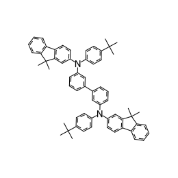 CC(C)(C)c1ccc(N(c2cccc(-c3cccc(N(c4ccc(C(C)(C)C)cc4)c4ccc5c(c4)C(C)(C)c4ccccc4-5)c3)c2)c2ccc3c(c2)C(C)(C)c2ccccc2-3)cc1